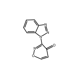 O=c1cconc1-n1nnc2ccccc21